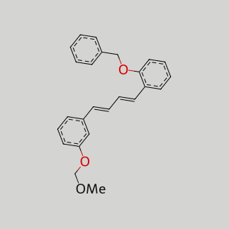 COCOc1cccc(C=CC=Cc2ccccc2OCc2ccccc2)c1